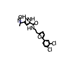 C/C(=N/O)c1cc(C(=O)NCCc2ccc(-c3ccc(Cl)c(Cl)c3)o2)[nH]n1